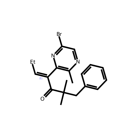 CC/C=C(/C(=O)C(C)(C)Cc1ccccc1)c1nc(Br)cnc1C